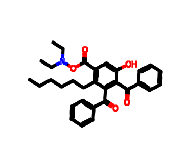 CCCCCCc1c(C(=O)ON(CC)CC)cc(O)c(C(=O)c2ccccc2)c1C(=O)c1ccccc1